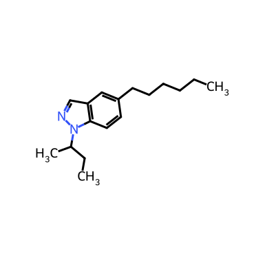 CCCCCCc1ccc2c(cnn2C(C)CC)c1